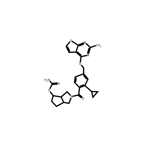 Cc1nc(OCc2ccc(C(=O)N3CC4CCC(OC(N)=O)C4C3)c(C3CC3)c2)c2ccsc2n1